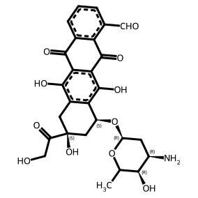 CC1O[C@@H](O[C@H]2C[C@](O)(C(=O)CO)Cc3c(O)c4c(c(O)c32)C(=O)c2c(C=O)cccc2C4=O)C[C@@H](N)[C@H]1O